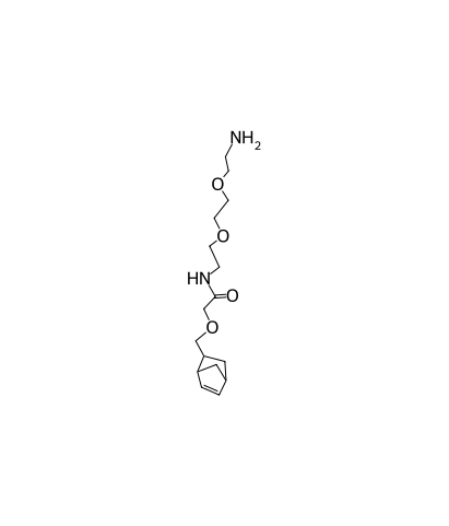 NCCOCCOCCNC(=O)COCC1CC2C=CC1C2